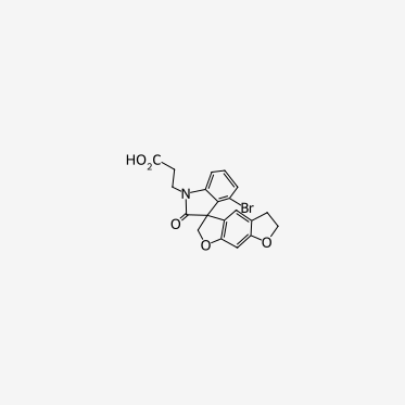 O=C(O)CCN1C(=O)C2(COc3cc4c(cc32)CCO4)c2c(Br)cccc21